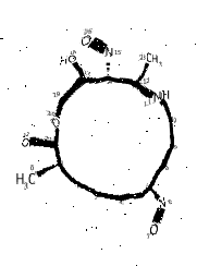 C[C@@H]1CCC[C@H](N=O)CCCN[C@H](C)[C@@H](N=O)C(O)COC1=O